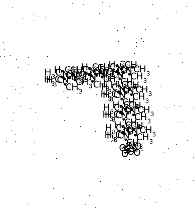 CCN(CC)C[S+](C)(C)(N(CC)CC)N(CC)CC.CCN(CC)C[S+](C)(C)(N(CC)CC)N(CC)CC.CCN(CC)C[S+](C)(C)(N(CC)CC)N(CC)CC.CCN(CC)C[S+](C)(C)(N(CC)CC)N(CC)CC.CCN(CC)C[S+](C)(C)(N(CC)CC)N(CC)CC.CCN(CC)C[S+](C)(C)(N(CC)CC)N(CC)CC.[O-][Si]([O-])([O-])O[Si]([O-])([O-])[O-]